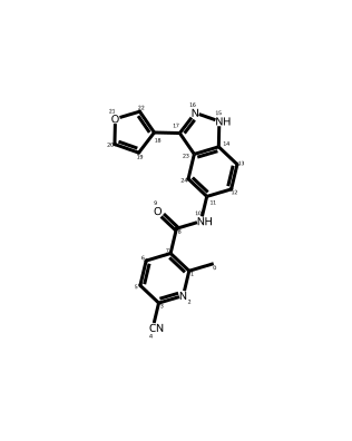 Cc1nc(C#N)ccc1C(=O)Nc1ccc2[nH]nc(-c3ccoc3)c2c1